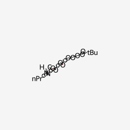 CCCc1ccc(/N=N/c2ccc(OC(=O)c3ccc(OC(=O)c4ccc(OCCOCCOCCOC(=O)CCC(C)(C)C)cc4)cc3)c(C)c2)cc1